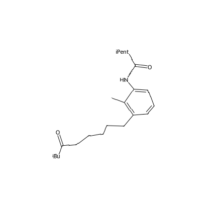 CCCC(C)C(=O)Nc1cccc(CCCCCC(=O)C(C)CC)c1C